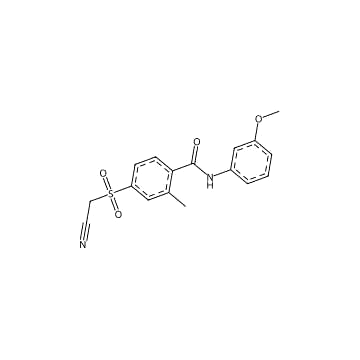 COc1cccc(NC(=O)c2ccc(S(=O)(=O)CC#N)cc2C)c1